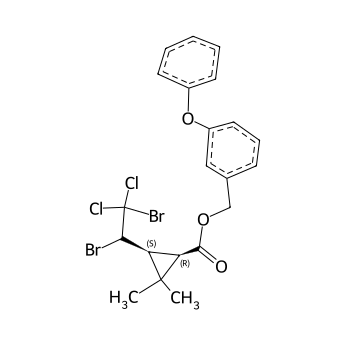 CC1(C)[C@H](C(=O)OCc2cccc(Oc3ccccc3)c2)[C@@H]1C(Br)C(Cl)(Cl)Br